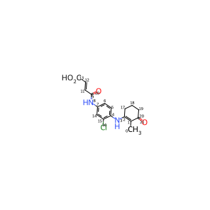 CC1=C(Nc2ccc(NC(=O)C=CC(=O)O)cc2Cl)CCCC1=O